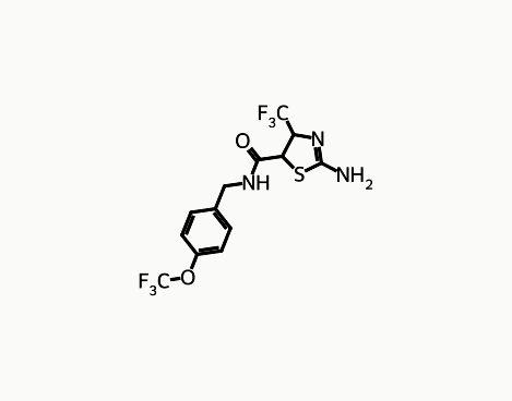 NC1=NC(C(F)(F)F)C(C(=O)NCc2ccc(OC(F)(F)F)cc2)S1